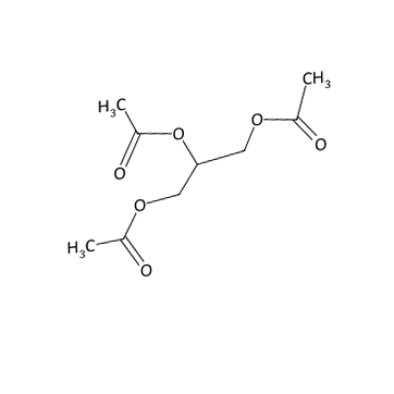 CC(=O)OCC(COC(C)=O)OC(C)=O